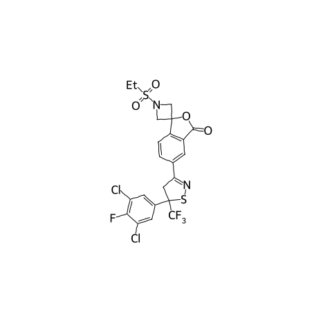 CCS(=O)(=O)N1CC2(C1)OC(=O)c1cc(C3=NSC(c4cc(Cl)c(F)c(Cl)c4)(C(F)(F)F)C3)ccc12